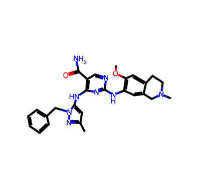 COc1cc2c(cc1Nc1ncc(C(N)=O)c(Nc3cc(C)nn3Cc3ccccc3)n1)CN(C)CC2